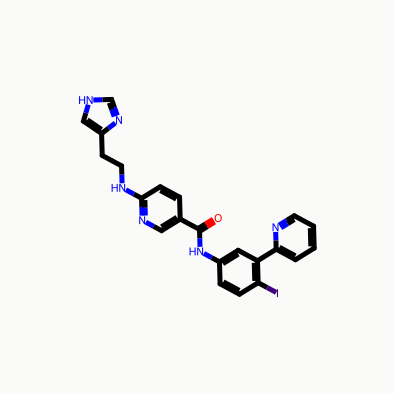 O=C(Nc1ccc(I)c(-c2ccccn2)c1)c1ccc(NCCc2c[nH]cn2)nc1